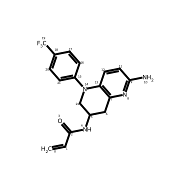 C=CC(=O)NC1Cc2nc(N)ccc2N(c2ccc(C(F)(F)F)cc2)C1